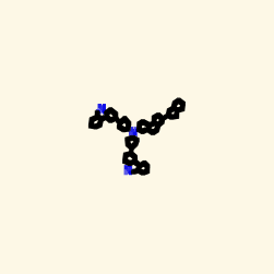 c1ccc2cc(-c3ccc4c(ccc5cc(N(c6ccc(-c7ccc8ncc9ccccc9c8c7)cc6)c6ccc(-c7ccc8ncc9ccccc9c8c7)cc6)ccc54)c3)ccc2c1